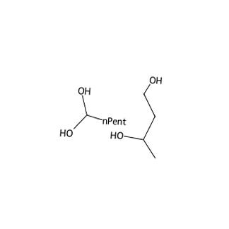 CC(O)CCO.CCCCCC(O)O